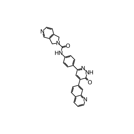 O=C(Nc1ccc(-c2cc(-c3ccc4cccnc4c3)c(=O)[nH]n2)cc1)N1Cc2ccncc2C1